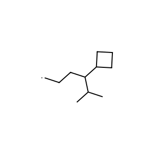 [CH2]CCC(C(C)C)C1CCC1